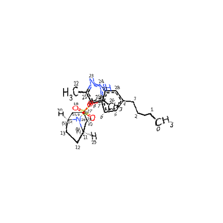 CCCCc1ccc(O[C@H]2C[C@H]3CC[C@@H](C2)N3S(=O)(=O)c2c(C)n[nH]c2C)cc1